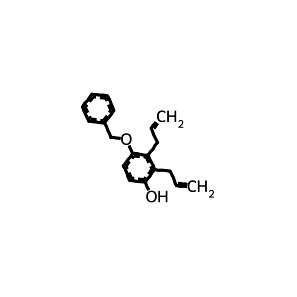 C=CCc1c(O)ccc(OCc2ccccc2)c1CC=C